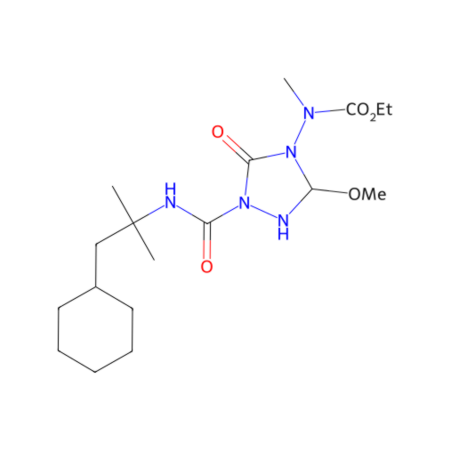 CCOC(=O)N(C)N1C(=O)N(C(=O)NC(C)(C)CC2CCCCC2)NC1OC